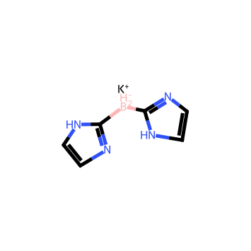 [BH2-](c1ncc[nH]1)c1ncc[nH]1.[K+]